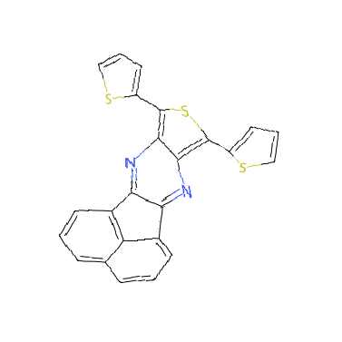 c1csc(-c2sc(-c3cccs3)c3nc4c(nc23)-c2cccc3cccc-4c23)c1